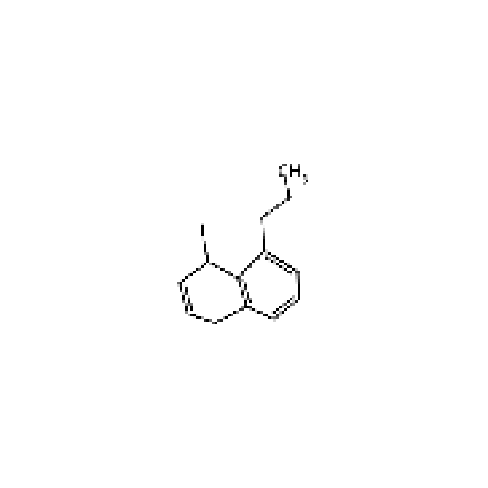 CCCc1cccc2c1C(I)C=CC2